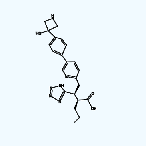 CCC[C@H](C(=O)O)[C@H](Cc1ccc(-c2ccc(C3(O)CNC3)cc2)cn1)c1nnn[nH]1